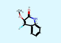 COc1c(F)c2ccccc2[nH]c1=O